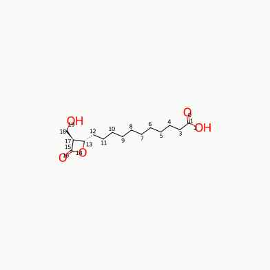 O=C(O)CCCCCCCCCC[C@@H]1OC(=O)[C@H]1CO